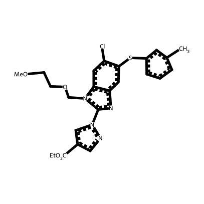 CCOC(=O)c1cnn(-c2nc3cc(Sc4cccc(C)c4)c(Cl)cc3n2COCCOC)c1